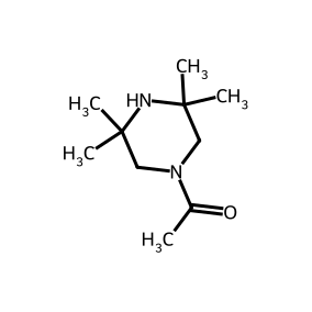 CC(=O)N1CC(C)(C)NC(C)(C)C1